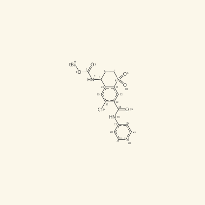 CC(C)(C)OC(=O)N[C@H]1CCS(=O)(=O)c2cc(C(=O)Nc3ccncc3)c(Cl)cc21